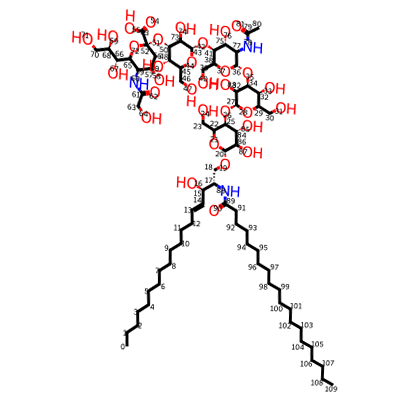 CCCCCCCCCCCCC/C=C/[C@@H](O)[C@H](CO[C@@H]1OC(CO)[C@@H](O[C@@H]2OC(CO)[C@H](O)[C@H](O[C@@H]3OC(CO)[C@@H](O[C@@H]4OC(CO)[C@H](O)[C@H](O[C@]5(C(=O)O)CC(O)[C@@H](NC(=O)CO)C([C@H](O)[C@H](O)CO)O5)C4O)[C@H](O)C3NC(C)=O)C2O)[C@H](O)C1O)NC(=O)CCCCCCCCCCCCCCCCCCC